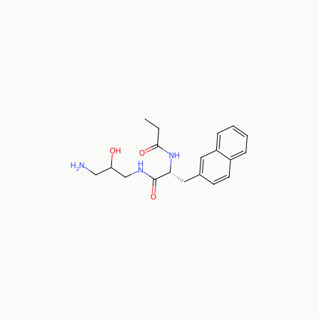 CCC(=O)N[C@H](Cc1ccc2ccccc2c1)C(=O)NCC(O)CN